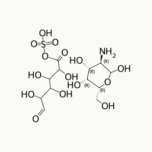 N[C@H]1C(O)O[C@H](CO)[C@H](O)[C@@H]1O.O=CC(O)C(O)C(O)C(O)C(=O)OS(=O)(=O)O